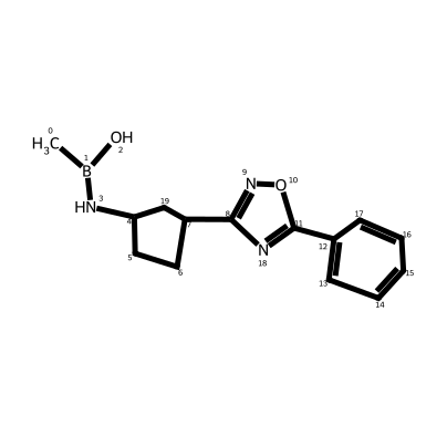 CB(O)NC1CCC(c2noc(-c3ccccc3)n2)C1